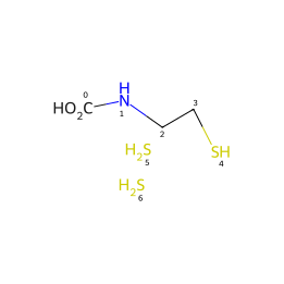 O=C(O)NCCS.S.S